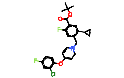 CC(C)(C)OC(=O)c1cc(C2CC2)c(CN2C=CC(Oc3ccc(F)cc3Cl)=CC2)cc1F